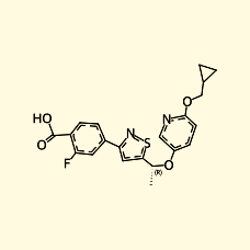 C[C@@H](Oc1ccc(OCC2CC2)nc1)c1cc(-c2ccc(C(=O)O)c(F)c2)ns1